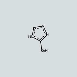 [SnH][c]1nnc[nH]1